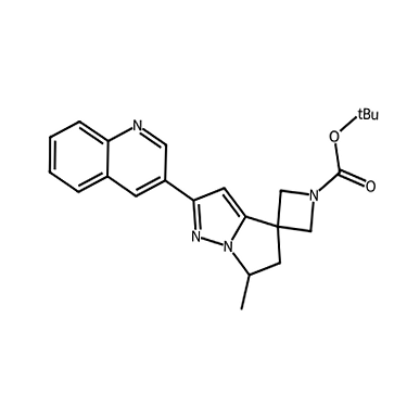 CC1CC2(CN(C(=O)OC(C)(C)C)C2)c2cc(-c3cnc4ccccc4c3)nn21